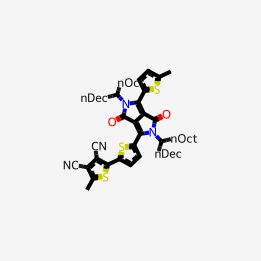 CCCCCCCCCCC(CCCCCCCC)N1C(=O)C2=C(c3ccc(-c4sc(C)c(C#N)c4C#N)s3)N(C(CCCCCCCC)CCCCCCCCCC)C(=O)C2=C1c1ccc(C)s1